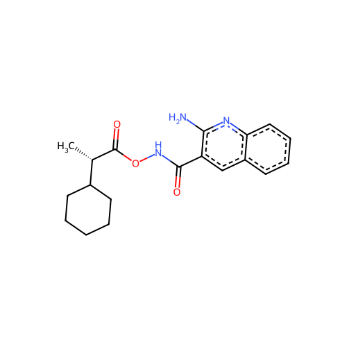 C[C@H](C(=O)ONC(=O)c1cc2ccccc2nc1N)C1CCCCC1